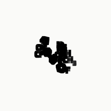 C[C@@H](C(=O)Nc1nncs1)[C@@H](c1ccc(-c2ccc(C(=O)N3CCCC3)c(Cl)c2)s1)C1C=CC=C(F)C1